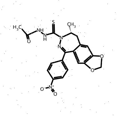 CC(=O)NNC(=S)N1N=C(c2ccc([N+](=O)[O-])cc2)c2cc3c(cc2C[C@H]1C)OCO3